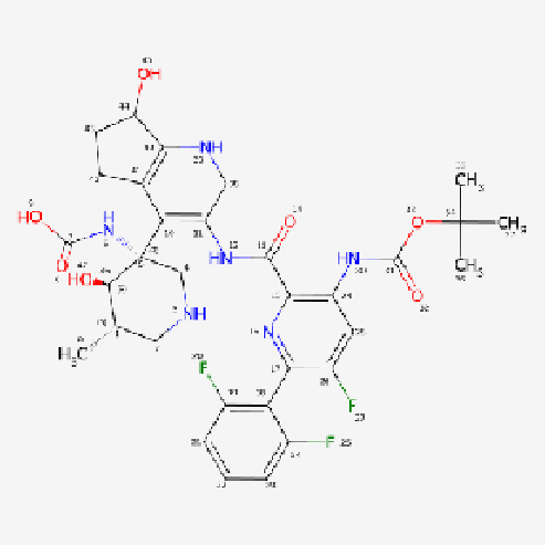 C[C@H]1CNC[C@](NC(=O)O)(C2=C(NC(=O)c3nc(-c4c(F)cccc4F)c(F)cc3NC(=O)OC(C)(C)C)CNC3=C2CCC3O)[C@@H]1O